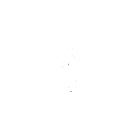 CCOC(=O)C(Cc1ccc(OCCC2C=CC=C3C=c4ccoc4=C32)cc1)OCC